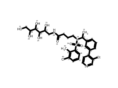 CCc1cnccc1-c1cccc(C(C)N(CCCC(=O)NCC(O)C(O)C(O)C(O)CO)S(=O)(=O)c2cccc(Cl)c2C)c1